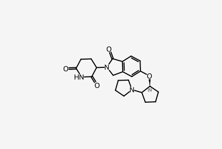 O=C1CCC(N2Cc3cc(O[C@H]4CCCC4N4CCCC4)ccc3C2=O)C(=O)N1